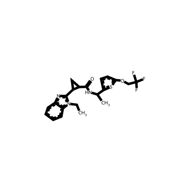 CCn1c(C2CC2C(=O)NC(C)c2ccc(OCC(F)(F)F)s2)nc2ccccc21